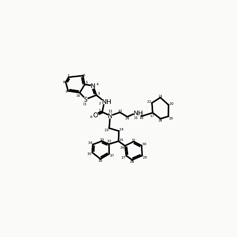 O=C(Nc1nc2ccccc2s1)N(CCNCC1CCCCC1)CCC(c1ccccc1)c1ccccc1